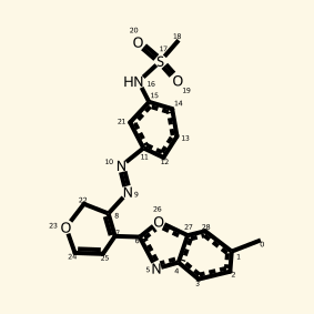 Cc1ccc2nc(C3=C(N=Nc4cccc(NS(C)(=O)=O)c4)COC=C3)oc2c1